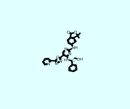 CC1(C)OC(=O)c2ccc(Nc3ncc(-c4nnc(-c5ccccn5)o4)c(N[C@H](CO)c4ccccc4)n3)cc21